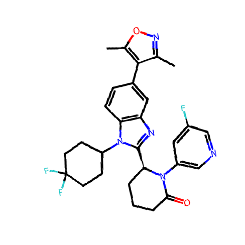 Cc1noc(C)c1-c1ccc2c(c1)nc([C@@H]1CCCC(=O)N1c1cncc(F)c1)n2C1CCC(F)(F)CC1